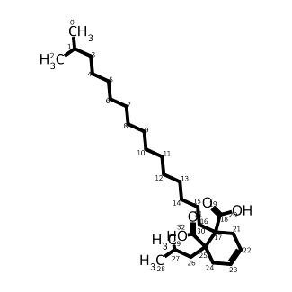 CC(C)CCCCCCCCCCCCCCC1(C(=O)O)CC=CCC1(CC(C)C)C(=O)O